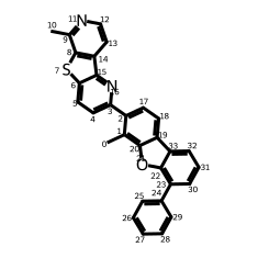 Cc1c(-c2ccc3sc4c(C)nccc4c3n2)ccc2c1oc1c(-c3ccccc3)cccc12